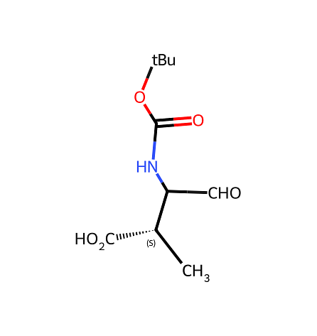 C[C@H](C(=O)O)C(C=O)NC(=O)OC(C)(C)C